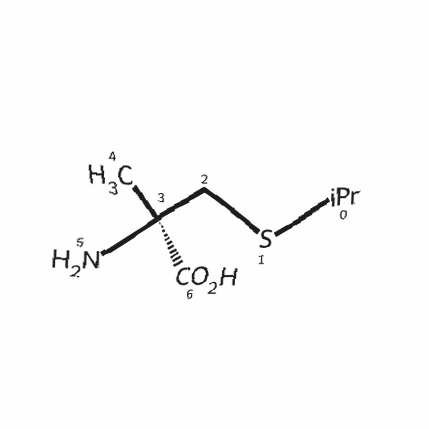 CC(C)SC[C@](C)(N)C(=O)O